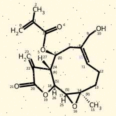 C=C(C)C(=O)O[C@H]1C/C(CO)=C/CC[C@@]2(C)O[C@H]2[C@H]2OC(=O)C(=C)[C@@H]21